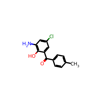 Cc1ccc(C(=O)c2cc(Cl)cc(N)c2O)cc1